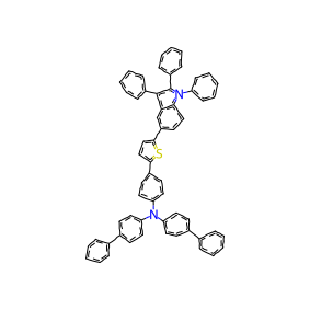 c1ccc(-c2ccc(N(c3ccc(-c4ccccc4)cc3)c3ccc(-c4ccc(-c5ccc6c(c5)c(-c5ccccc5)c(-c5ccccc5)n6-c5ccccc5)s4)cc3)cc2)cc1